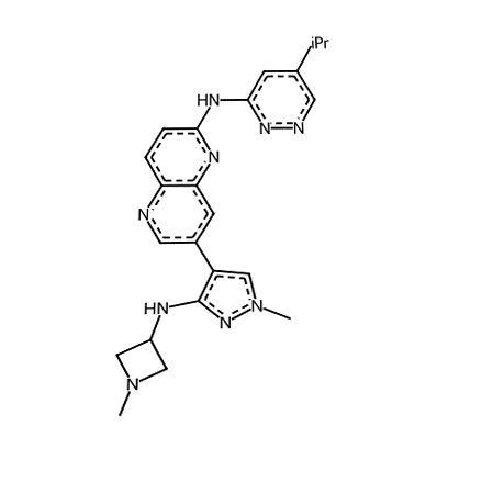 CC(C)c1cnnc(Nc2ccc3ncc(-c4cn(C)nc4NC4CN(C)C4)cc3n2)c1